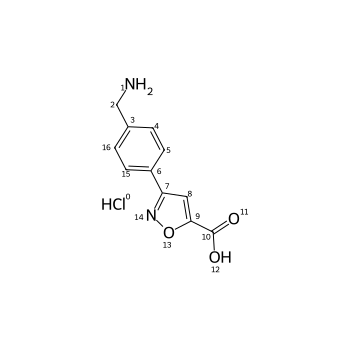 Cl.NCc1ccc(-c2cc(C(=O)O)on2)cc1